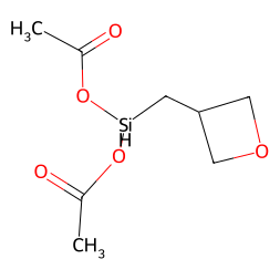 CC(=O)O[SiH](CC1COC1)OC(C)=O